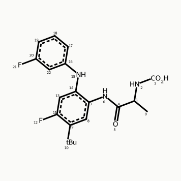 CC(NC(=O)O)C(=O)Nc1cc(C(C)(C)C)c(F)cc1Nc1cccc(F)c1